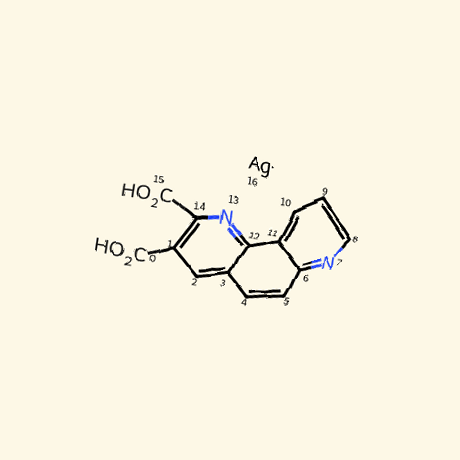 O=C(O)c1cc2ccc3ncccc3c2nc1C(=O)O.[Ag]